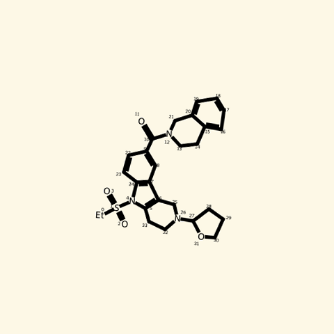 CCS(=O)(=O)n1c2c(c3cc(C(=O)N4CCc5ccccc5C4)ccc31)CN(C1CCCO1)CC2